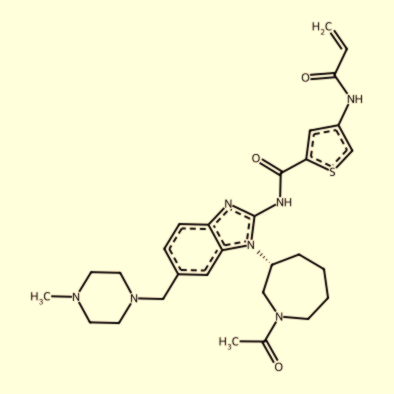 C=CC(=O)Nc1csc(C(=O)Nc2nc3ccc(CN4CCN(C)CC4)cc3n2[C@@H]2CCCCN(C(C)=O)C2)c1